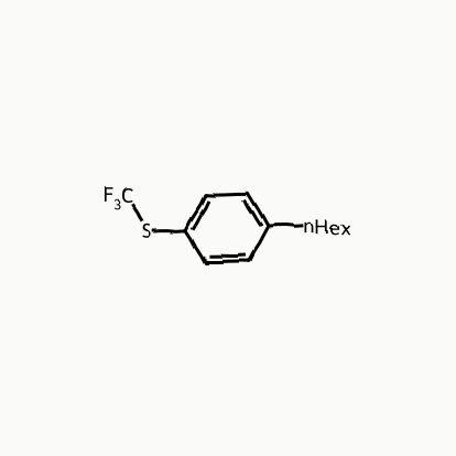 [CH2]CCCCCc1ccc(SC(F)(F)F)cc1